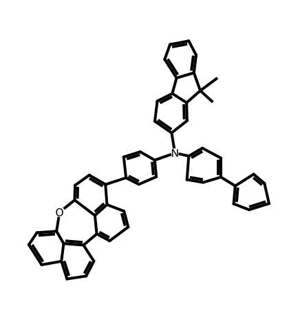 CC1(C)c2ccccc2-c2ccc(N(c3ccc(-c4ccccc4)cc3)c3ccc(-c4ccc5oc6cccc7cccc(c8cccc4c58)c76)cc3)cc21